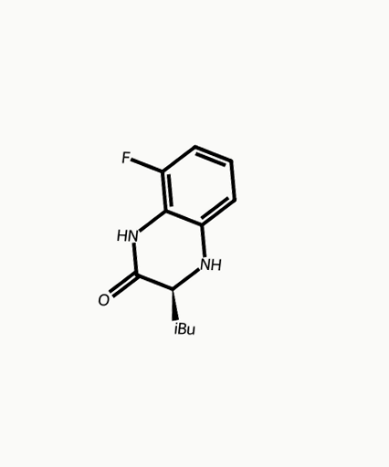 CCC(C)[C@@H]1Nc2cccc(F)c2NC1=O